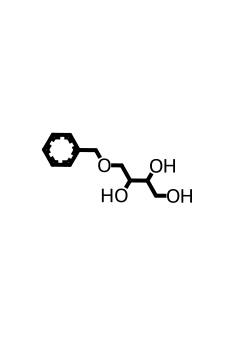 OCC(O)C(O)COCc1ccccc1